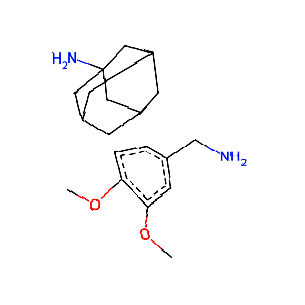 COc1ccc(CN)cc1OC.NC12CC3CC(CC(C3)C1)C2